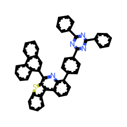 c1ccc(-c2nc(-c3ccccc3)nc(-c3ccc(-c4cccc5c4nc(-c4cc6ccccc6c6ccccc46)c4sc6ccccc6c45)cc3)n2)cc1